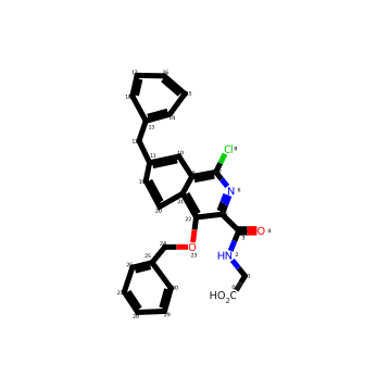 O=C(O)CNC(=O)c1nc(Cl)c2cc(Cc3ccccc3)ccc2c1OCc1ccccc1